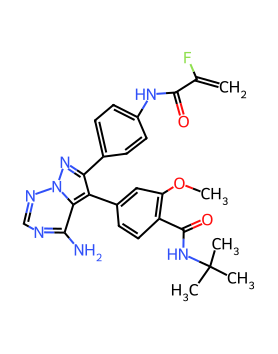 C=C(F)C(=O)Nc1ccc(-c2nn3ncnc(N)c3c2-c2ccc(C(=O)NC(C)(C)C)c(OC)c2)cc1